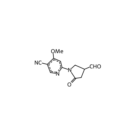 COc1cc(N2CC(C=O)CC2=O)ncc1C#N